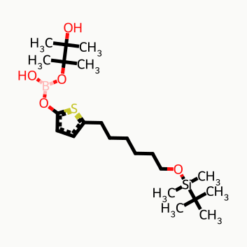 CC(C)(O)C(C)(C)OB(O)Oc1ccc(CCCCCCO[Si](C)(C)C(C)(C)C)s1